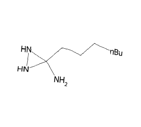 CCCCCCCC1(N)NN1